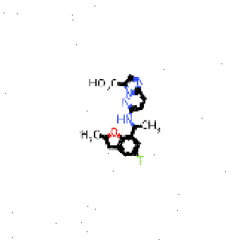 CC1Cc2cc(F)cc(C(C)Nc3ccc4ncc(C(=O)O)n4n3)c2O1